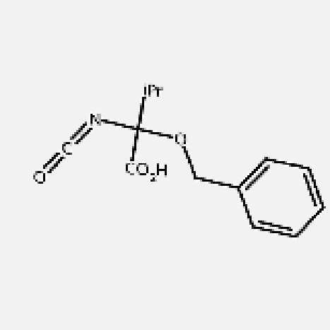 CC(C)C(N=C=O)(OCc1ccccc1)C(=O)O